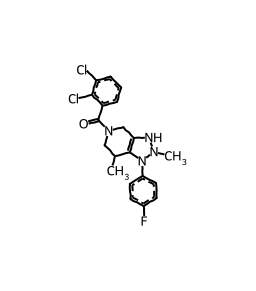 CC1CN(C(=O)c2cccc(Cl)c2Cl)CC2=C1N(c1ccc(F)cc1)N(C)N2